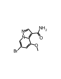 COc1cc(Br)cn2ncc(C(N)=O)c12